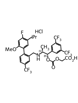 COc1cc(F)c(C(C)C)cc1-c1ccc(C(F)(F)F)cc1CN[C@@H](C)[C@H](OC(=O)OCC(=O)O)c1cc(C(F)(F)F)cc(C(F)(F)F)c1.Cl